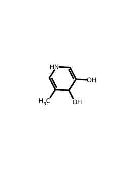 CC1=CNC=C(O)C1O